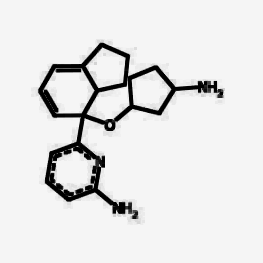 Nc1cccc(C2(OC3CCC(N)C3)C=CC=C3CCCC32)n1